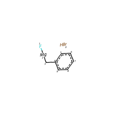 Br.[F][Mg][CH2]c1ccccc1